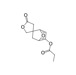 CCC(=O)Oc1cc2oc1CC21COC(=O)C1